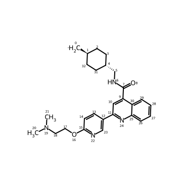 [CH2][C@H]1CC[C@H](CNC(=O)c2cc(-c3ccc(OCCN(C)C)nc3)nc3ccccc23)CC1